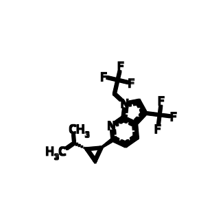 CC(C)[C@H]1C[C@@H]1c1ccc2c(C(F)(F)F)cn(CC(F)(F)F)c2n1